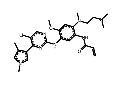 C=CC(=O)Nc1cc(Nc2ncc(Cl)c(-c3cn(C)cc3C)n2)c(OC)cc1N(C)CCN(C)C